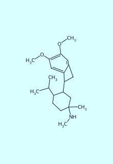 CNC1(C)CCC(C(C)C)C(C2Cc3cc(OC)c(OC)cc32)C1